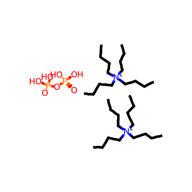 CCCC[N+](CCCC)(CCCC)CCCC.CCCC[N+](CCCC)(CCCC)CCCC.O=P(O)(O)OP(=O)(O)O